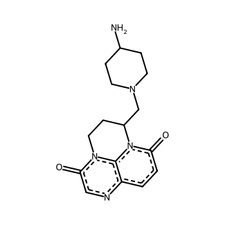 NC1CCN(CC2CCn3c(=O)cnc4ccc(=O)n2c43)CC1